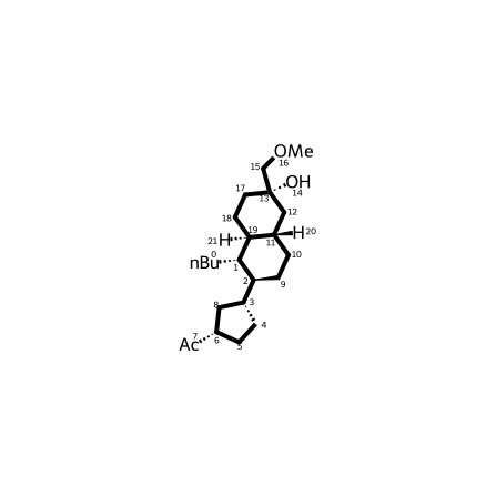 CCCC[C@H]1[C@H]([C@@H]2CC[C@H](C(C)=O)C2)CC[C@H]2C[C@](O)(COC)CC[C@@H]21